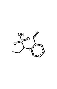 C=Cc1cccc[n+]1C(CC)S(=O)(=O)O